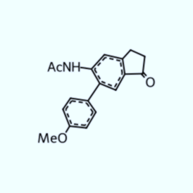 COc1ccc(-c2cc3c(cc2NC(C)=O)CCC3=O)cc1